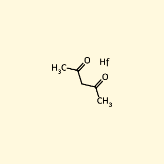 CC(=O)CC(C)=O.[Hf]